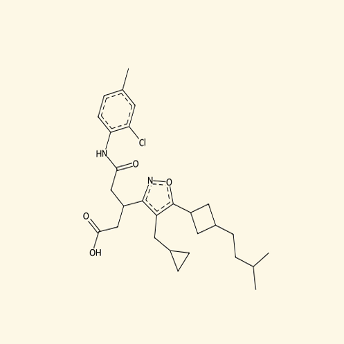 Cc1ccc(NC(=O)CC(CC(=O)O)c2noc(C3CC(CCC(C)C)C3)c2CC2CC2)c(Cl)c1